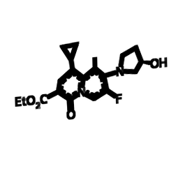 CCOC(=O)c1cc(C2CC2)c2c(C)c(N3CC[C@@H](O)C3)c(F)cn2c1=O